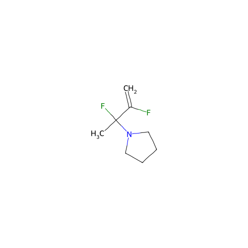 C=C(F)C(C)(F)N1CCCC1